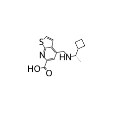 C[C@H](NCc1cc(C(=O)O)nc2sccc12)C1CCC1